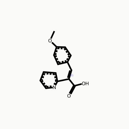 COc1ccc(/C=C(/C(=O)O)c2ccccn2)cc1